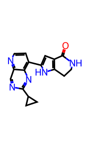 O=C1NCCc2[nH]c(-c3ccnc4cnc(C5CC5)nc34)cc21